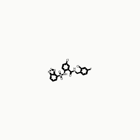 O=C(NCc1ccc(F)cc1Cl)c1cc(Cl)ccc1NS(=O)(=O)c1cccc2nsnc12